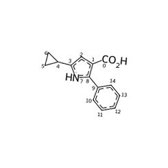 O=C(O)c1cc(C2CC2)[nH]c1-c1ccccc1